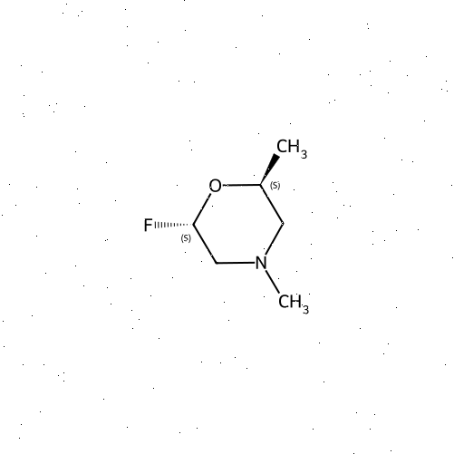 C[C@H]1CN(C)C[C@H](F)O1